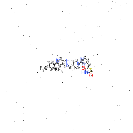 O=C1NC(=O)/C(=C\c2ccnc(N3CCC(CNCc4ccnc(-c5ccc(C(F)(F)F)cc5C(F)(F)F)c4)CC3)n2)S1